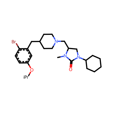 CC(C)Oc1ccc(Br)c(CC2CCN(CC3CN(C4CCCCC4)C(=O)N3C)CC2)c1